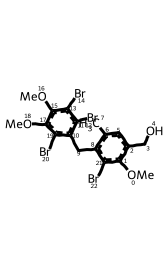 COc1c(CO)cc(C)c(Cc2c(Br)c(Br)c(OC)c(OC)c2Br)c1Br